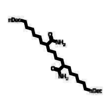 CCCCCCCCCCCCCCCCC(CCCCC(CCCCCCCCCCCCCCCC)C(N)=O)C(N)=O